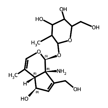 CC1=CO[C@@H](OC2OC(CO)C(O)C(O)C2C)[C@]2(N)C(CO)=C[C@@H](O)[C@H]12